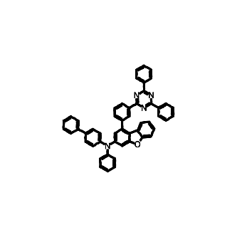 c1ccc(-c2ccc(N(c3ccccc3)c3cc(-c4cccc(-c5nc(-c6ccccc6)nc(-c6ccccc6)n5)c4)c4c(c3)oc3ccccc34)cc2)cc1